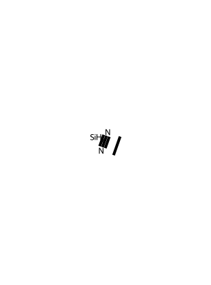 CC.N#N.[SiH4]